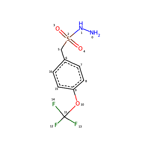 NNS(=O)(=O)Cc1ccc(OC(F)(F)F)cc1